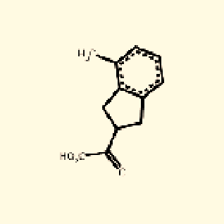 Cc1cccc2c1CC(C(=O)C(=O)O)C2